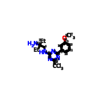 CCC(N)(CC)CNc1nc(-c2cccc(OC(F)(F)F)c2)nc(C(Cl)(Cl)Cl)n1